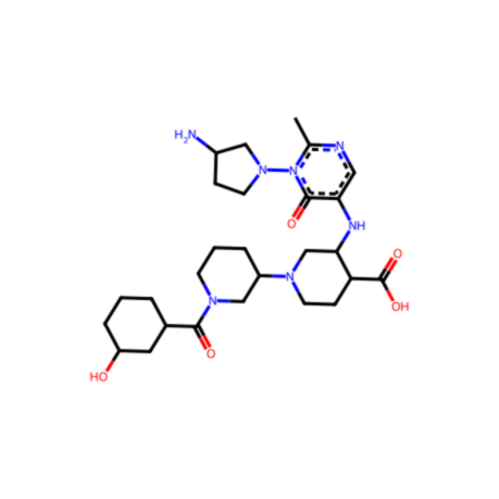 Cc1ncc(NC2CN(C3CCCN(C(=O)C4CCCC(O)C4)C3)CCC2C(=O)O)c(=O)n1N1CCC(N)C1